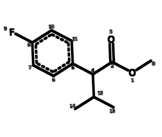 COC(=O)C(c1ccc(F)cc1)C(C)C